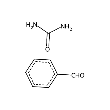 NC(N)=O.O=Cc1ccccc1